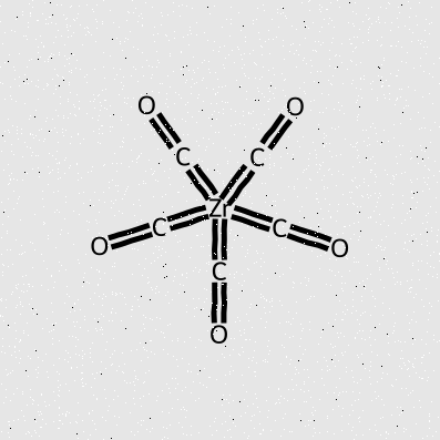 O=[C]=[Zr](=[C]=O)(=[C]=O)(=[C]=O)=[C]=O